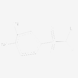 CCC(S)S(=O)(=O)c1ccc(C#N)c(C#N)c1